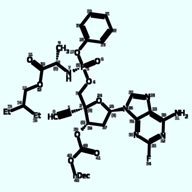 C#C[C@]1(CO[P@@](=O)(N[C@@H](C)C(=O)OCC(CC)CC)Oc2ccccc2)O[C@@H](n2cnc3c(N)nc(F)nc32)C[C@@H]1OC(=O)OCCCCCCCCCC